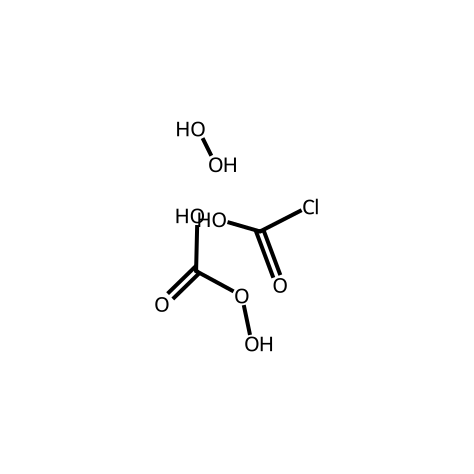 O=C(O)Cl.O=C(O)OO.OO